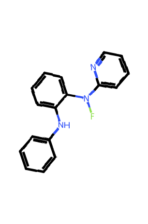 FN(c1ccccn1)c1ccccc1Nc1ccccc1